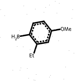 Bc1ccc(OC)cc1CC